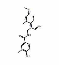 C=CC(/C(C)=C\C=N/C)=C(\C=N)CNC(=O)c1ccc(O)c(F)c1